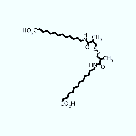 CC(CSSCC(C)C(=O)NCCCCCCCCCCCCC(=O)O)C(=O)NCCCCCCCCCCCCC(=O)O